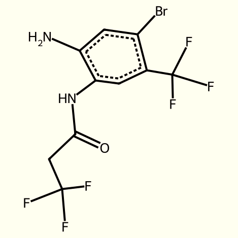 Nc1cc(Br)c(C(F)(F)F)cc1NC(=O)CC(F)(F)F